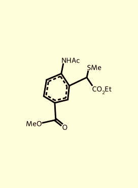 CCOC(=O)C(SC)c1cc(C(=O)OC)ccc1NC(C)=O